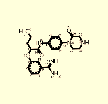 CCCC(Oc1cccc(C(=N)N)c1)C(=O)Nc1ccc(N2CCNCC2=O)cc1